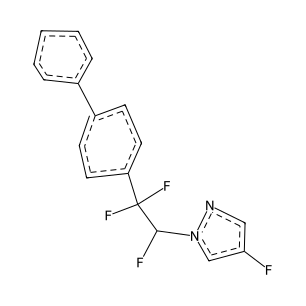 Fc1cnn(C(F)C(F)(F)c2ccc(-c3ccccc3)cc2)c1